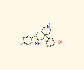 Cc1ccc2c3c([nH]c2c1)CC1(c2cccc(O)c2)CCN(C)CC1C3